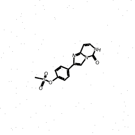 CS(=O)(=O)Oc1ccc(-c2cn3c(=O)[nH]ccc3n2)cc1